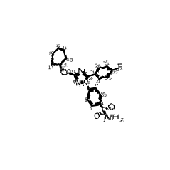 NS(=O)(=O)c1ccc(-n2nc(OC3CCCCC3)nc2-c2ccc(F)cc2)cc1